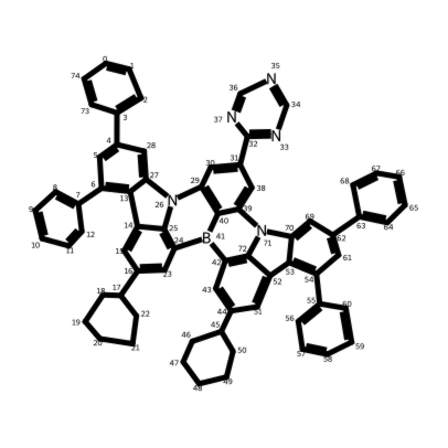 c1ccc(-c2cc(-c3ccccc3)c3c4cc(C5CCCCC5)cc5c4n(c3c2)-c2cc(-c3ncncn3)cc3c2B5c2cc(C4CCCCC4)cc4c5c(-c6ccccc6)cc(-c6ccccc6)cc5n-3c24)cc1